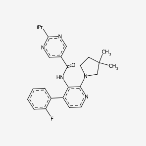 CC(C)c1ncc(C(=O)Nc2c(-c3ccccc3F)ccnc2N2CCC(C)(C)C2)cn1